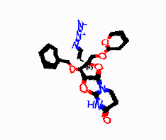 [N-]=[N+]=NCC[C@]1(COC2CCCCO2)OC2C(OC3NC(=O)C=CN32)C1OCc1ccccc1